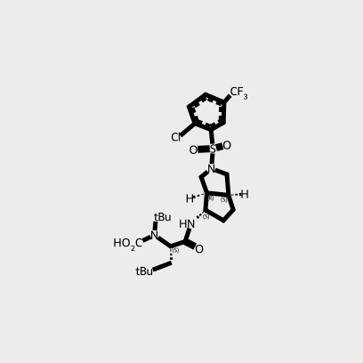 CC(C)(C)C[C@@H](C(=O)N[C@H]1CC[C@@H]2CN(S(=O)(=O)c3cc(C(F)(F)F)ccc3Cl)C[C@@H]21)N(C(=O)O)C(C)(C)C